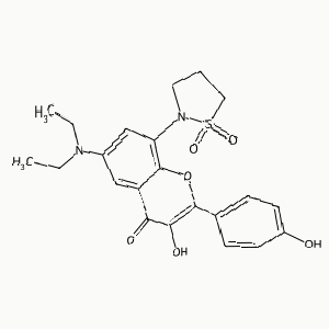 CCN(CC)c1cc(N2CCCS2(=O)=O)c2oc(-c3ccc(O)cc3)c(O)c(=O)c2c1